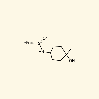 CC1(O)CCC(N[S@@+]([O-])C(C)(C)C)CC1